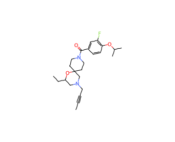 CC#CCN1CC(CC)OC2(CCN(C(=O)c3ccc(OC(C)C)c(F)c3)CC2)C1